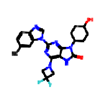 N#Cc1ccc2ncn(-c3nc(N4CC(F)(F)C4)c4[nH]c(=O)n(C5CCC(O)CC5)c4n3)c2c1